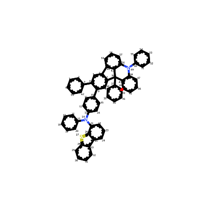 c1ccc(-c2cc3c(cc2-c2ccc(N(c4ccccc4)c4cccc5c4sc4ccccc45)cc2)C2(c4ccccc4)c4ccccc4N(c4ccccc4)c4cccc-3c42)cc1